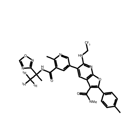 [2H]C([2H])([2H])C(C)(NC(=O)c1cc(-c2cc3c(C(=O)NC)c(-c4ccc(C)cc4)oc3nc2NCC(F)(F)F)cnc1C)c1ncon1